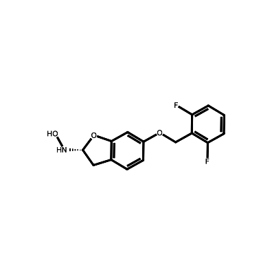 ON[C@H]1Cc2ccc(OCc3c(F)cccc3F)cc2O1